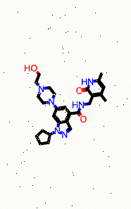 Cc1cc(C)c(CNC(=O)c2cc(N3CCN(CCO)CC3)cc3c2cnn3C2CCCC2)c(=O)[nH]1